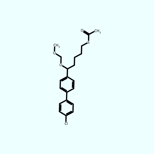 COCOC(CCCCSC(C)=O)c1ccc(-c2ccc(Cl)cc2)cc1